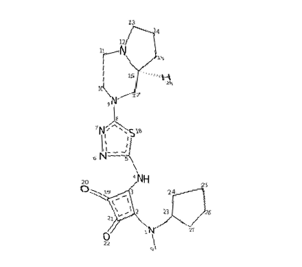 CN(c1c(Nc2nnc(N3CCN4CCC[C@H]4C3)s2)c(=O)c1=O)C1CCCC1